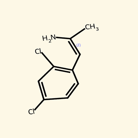 C/C(N)=C/c1ccc(Cl)cc1Cl